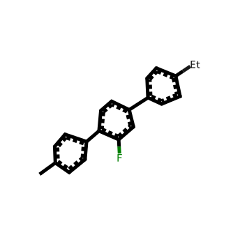 CCc1ccc(-c2ccc(-c3ccc(C)cc3)c(F)c2)cc1